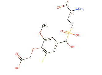 COc1cc(C(O)P(=O)(O)CC[C@H](N)C(=O)O)cc(F)c1OCC(=O)O